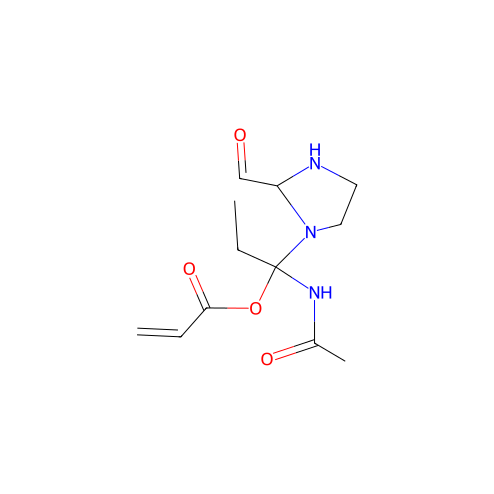 C=CC(=O)OC(CC)(NC(C)=O)N1CCNC1C=O